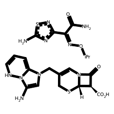 CC(C)O/N=C(\C(N)=O)c1nsc(N)n1.NC1=CN(CC2=CN3C(=O)[C@@H](C(=O)O)[C@@H]3SC2)C2=CC=CNN12